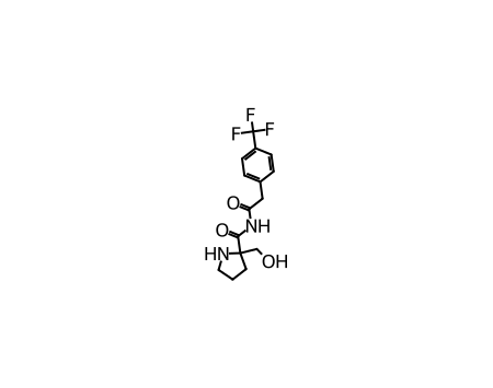 O=C(Cc1ccc(C(F)(F)F)cc1)NC(=O)C1(CO)CCCN1